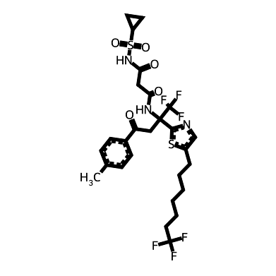 Cc1ccc(C(=O)CC(NC(=O)CC(=O)NS(=O)(=O)C2CC2)(c2ncc(CCCCCCC(F)(F)F)s2)C(F)(F)F)cc1